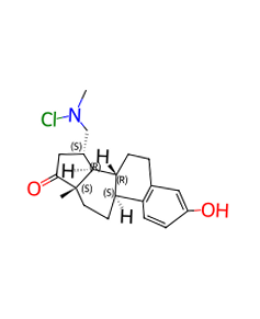 CN(Cl)C[C@H]1CC(=O)[C@@]2(C)CC[C@@H]3c4ccc(O)cc4CC[C@H]3[C@H]12